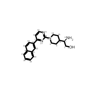 N[C@@H](CO)C1CCN(c2nccc(-c3ccc4ccccc4c3)n2)CC1